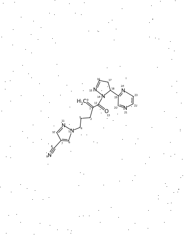 C=C(CCCn1cc(C#N)cn1)C(=O)N1N=CCC1c1cnccn1